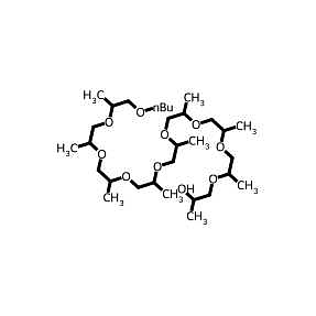 CCCCOCC(C)OCC(C)OCC(C)OCC(C)OCC(C)OCC(C)OCC(C)OCC(C)OCC(C)O